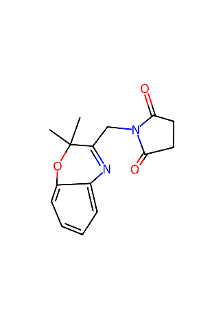 CC1(C)Oc2ccccc2N=C1CN1C(=O)CCC1=O